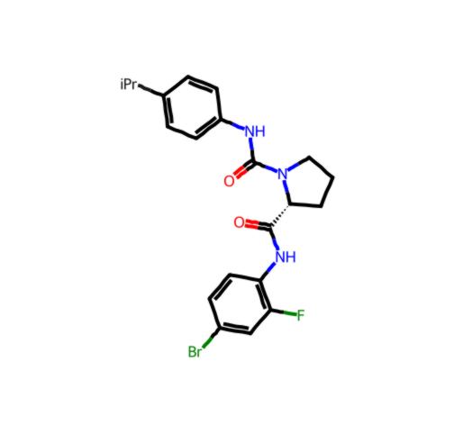 CC(C)c1ccc(NC(=O)N2CCC[C@@H]2C(=O)Nc2ccc(Br)cc2F)cc1